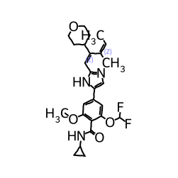 C/C=C(C)\C(=C/c1ncc(-c2cc(OC)c(C(=O)NC3CC3)c(OC(F)F)c2)[nH]1)C1CCOCC1